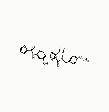 COc1ccc(CNC(=O)n2nc(-c3ccc(NC(=O)c4cccs4)cc3O)cc2C2CCC2)cc1